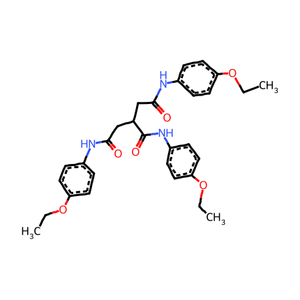 CCOc1ccc(NC(=O)CC(CC(=O)Nc2ccc(OCC)cc2)C(=O)Nc2ccc(OCC)cc2)cc1